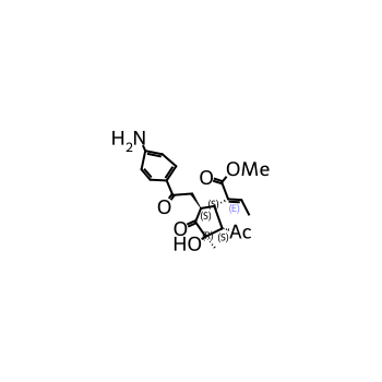 C/C=C(/C(=O)OC)[C@H]1[C@H](CC(=O)c2ccc(N)cc2)C(=O)[C@](C)(O)[C@H]1C(C)=O